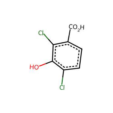 O=C(O)c1ccc(Cl)c(O)c1Cl